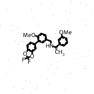 COc1cccc([C@@H](C)NCc2ccc(OC)c(-c3ccc4c(c3)OC(F)(F)O4)c2)c1